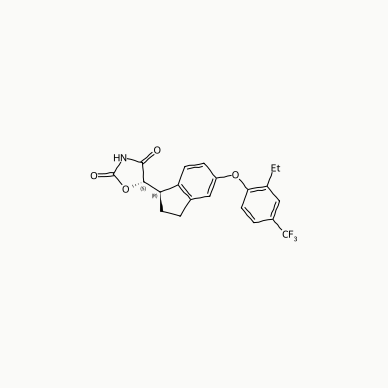 CCc1cc(C(F)(F)F)ccc1Oc1ccc2c(c1)CC[C@H]2[C@@H]1OC(=O)NC1=O